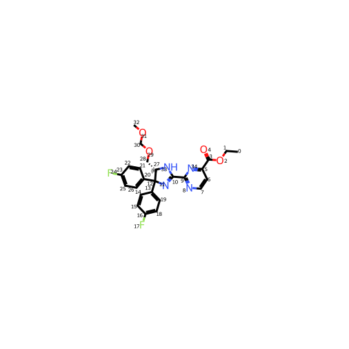 CCOC(=O)c1ccnc(C2=NC(c3ccc(F)cc3)(c3ccc(F)cc3)[C@H](COCOC)N2)n1